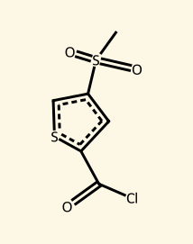 CS(=O)(=O)c1csc(C(=O)Cl)c1